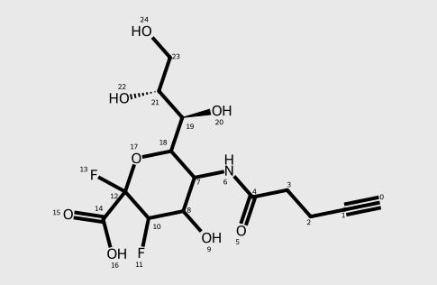 C#CCCC(=O)NC1C(O)C(F)C(F)(C(=O)O)OC1[C@H](O)[C@H](O)CO